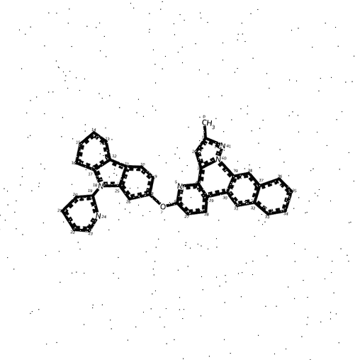 Cc1cc2c3nc(Oc4ccc5c6ccccc6n(-c6ccccn6)c5c4)ccc3c3cc4ccccc4cc3n2n1